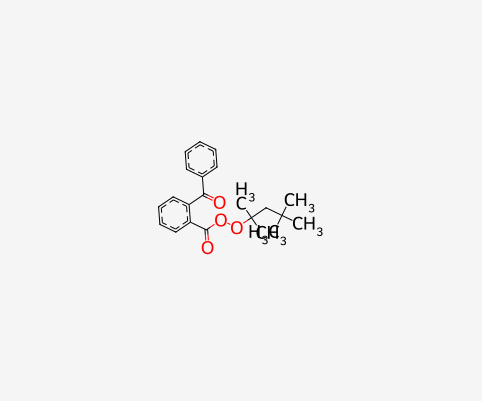 CC(C)(C)CC(C)(C)OOC(=O)c1ccccc1C(=O)c1ccccc1